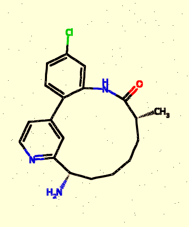 C[C@@H]1CCCC[C@H](N)c2cc(ccn2)-c2ccc(Cl)cc2NC1=O